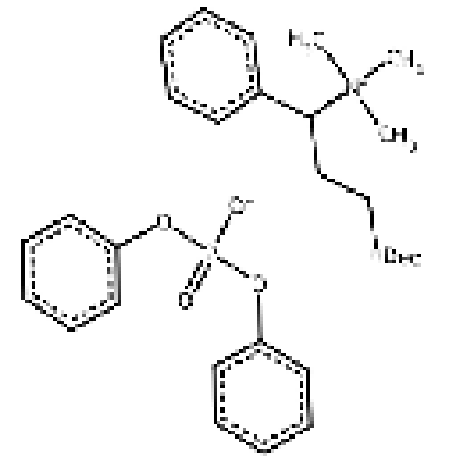 CCCCCCCCCCCCC(c1ccccc1)[N+](C)(C)C.O=P([O-])(Oc1ccccc1)Oc1ccccc1